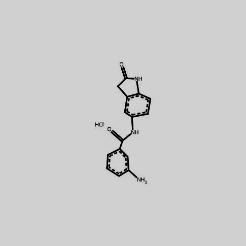 Cl.Nc1cccc(C(=O)Nc2ccc3c(c2)CC(=O)N3)c1